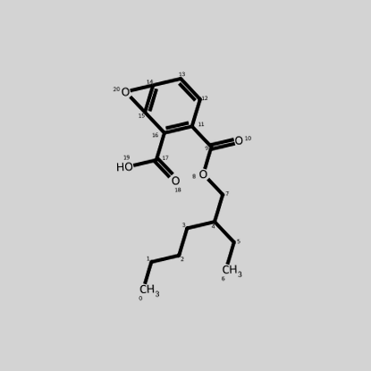 CCCCC(CC)COC(=O)c1ccc2c(c1C(=O)O)O2